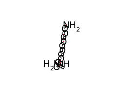 NCCOCCOCCOCCOCCOCCOCCOCCOCCC(=O)N[C@H](Cc1ccccc1)C(N)=O